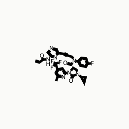 C=CC(=O)Nc1cncc(C#CCN(C(=O)[C@@H]2CN(C3CC3)C(=O)N2c2cc(C(F)(F)F)cc(C)n2)c2ccc(F)cc2)n1